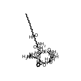 CCCCCCCCCCCCCCCC(=O)NCCCC[C@H](N)C(=O)NCC(=O)N[C@H]1CSCC[C@@H](C(N)=O)NC(=O)[C@H]([C@@H](C)O)NC(=O)CNC(=O)[C@H](Cc2ccccc2)NC(=O)[C@H](CCCCNC(=N)N)NC1=O